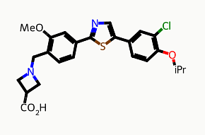 COc1cc(-c2ncc(-c3ccc(OC(C)C)c(Cl)c3)s2)ccc1CN1CC(C(=O)O)C1